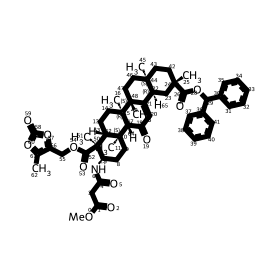 COC(=O)CC(=O)N[C@H]1CC[C@@]2(C)[C@@H](CC[C@]3(C)[C@@H]2C(=O)C=C2[C@@H]4C[C@@](C)(C(=O)OC(c5ccccc5)c5ccccc5)CC[C@]4(C)CC[C@]23C)[C@]1(C)C(=O)OCc1oc(=O)oc1C